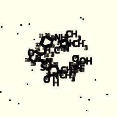 Cc1nn(C)c(C)c1Nc1cccc(CC2COCCN2c2nc3c(s2)C(=O)NC(C)(C)C3)c1.O=C(O)C(F)(F)F